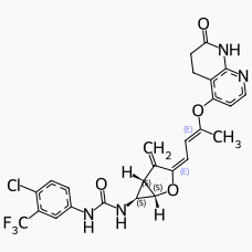 C=C1/C(=C\C=C(/C)Oc2ccnc3c2CCC(=O)N3)O[C@@H]2[C@@H](NC(=O)Nc3ccc(Cl)c(C(F)(F)F)c3)[C@H]12